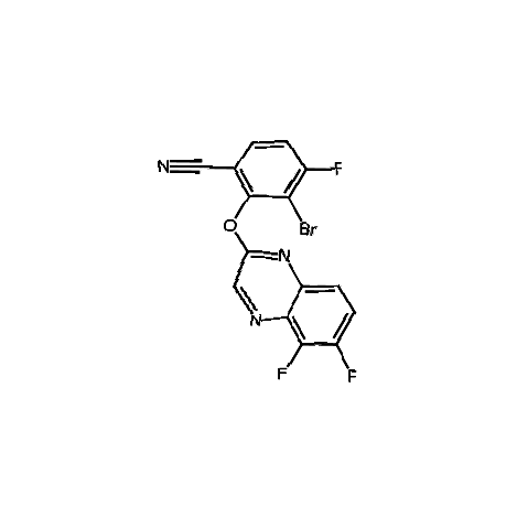 N#Cc1ccc(F)c(Br)c1Oc1cnc2c(F)c(F)ccc2n1